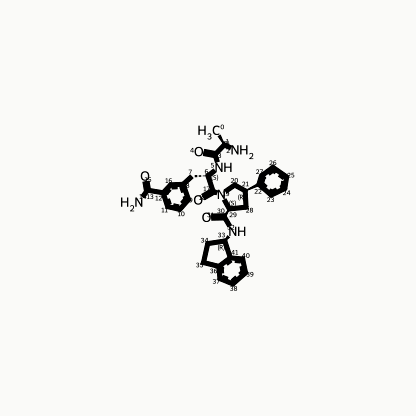 C[C@@H](N)C(=O)N[C@@H](Cc1cccc(C(N)=O)c1)C(=O)N1C[C@@H](c2ccccc2)C[C@H]1C(=O)N[C@@H]1CCc2ccccc21